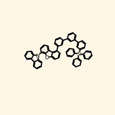 C1=CC([Si](c2ccccc2)(c2ccccc2)c2cccc(-c3cccc(-c4cccc(-c5cccc6oc7c(-n8c9ccccc9c9ccccc98)cccc7c56)c4)c3)c2)=CCC1